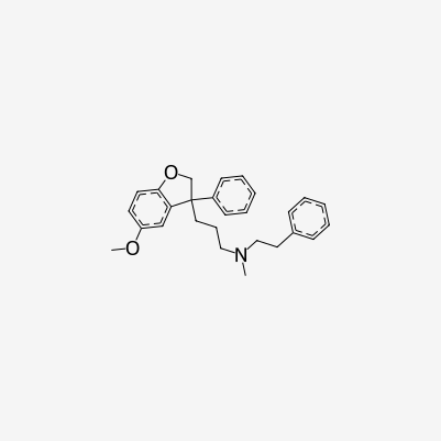 COc1ccc2c(c1)C(CCCN(C)CCc1ccccc1)(c1ccccc1)CO2